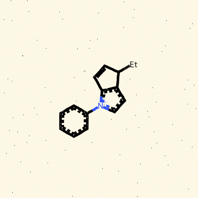 CCC1C=Cc2c1ccn2-c1ccccc1